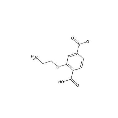 NCCOc1cc([N+](=O)[O-])ccc1C(=O)O